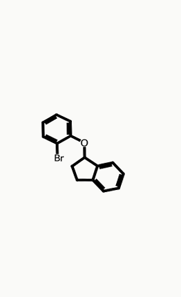 Brc1ccccc1OC1CCc2ccccc21